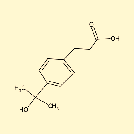 CC(C)(O)c1ccc(CCC(=O)O)cc1